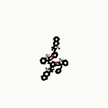 CN1/C(=C/C=C/C2=[N+](C)c3ccccc3C2(Cc2ccccc2)Cc2ccc(CC3(Cc4ccccc4)C(/C=C/C=C4/N(C)c5cc6ccccc6cc5C4(C)C)=[N+](C)c4ccccc43)cc2)C(C)(C)c2cc3ccccc3cc21